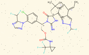 C=C(/C=C\C(=C/C)c1cnn(C(F)F)c1)[C@@]1(CC(C)(C)C)NC(=N)N([C@H](COC(=O)NC2(C(F)(F)F)CC2)c2ccc(Cl)c(-n3ncnc3C(F)F)c2)C1=O